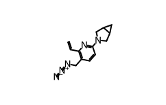 C=Cc1nc(N2CC3CC3C2)ccc1CN=[N+]=[N-]